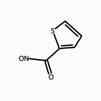 O=NC(=O)c1cccs1